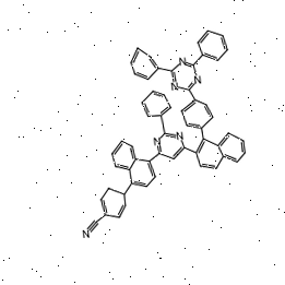 N#CC1=CCC(c2ccc(-c3cc(-c4ccc5ccccc5c4-c4ccc(-c5nc(-c6ccccc6)nc(-c6ccccc6)n5)cc4)nc(-c4ccccc4)n3)c3ccccc23)C=C1